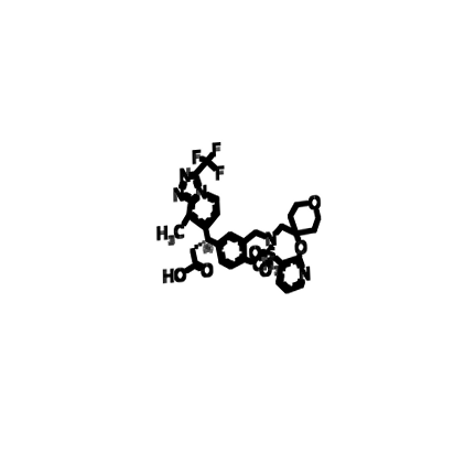 Cc1ccc([C@H](CC(=O)O)c2ccn3c(C(F)(F)F)nnc3c2C)cc1CN1CC2(CCOCC2)Oc2ncccc2S1(=O)=O